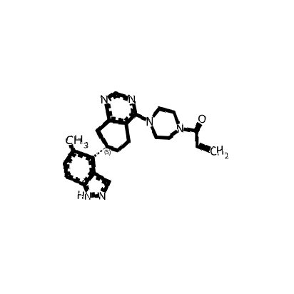 C=CC(=O)N1CCN(c2ncnc3c2CC[C@H](c2c(C)ccc4[nH]ncc24)C3)CC1